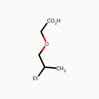 CCC(C)COCC(=O)O